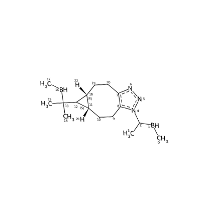 CBC(C)n1nnc2c1CC[C@@H]1C(C(C)(C)BC)[C@@H]1CC2